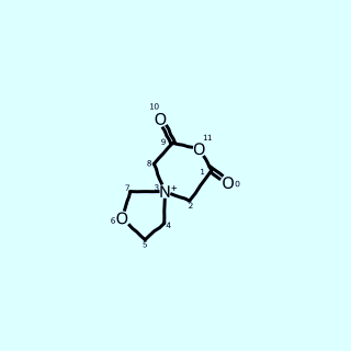 O=C1C[N+]2(CCOC2)CC(=O)O1